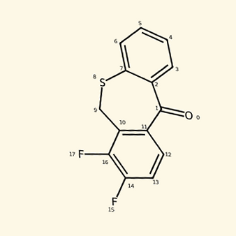 O=C1c2ccccc2SCc2c1ccc(F)c2F